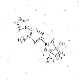 CC1(C)OB(c2ccc(-n3cccc3)c(N)c2)OC1(C)C